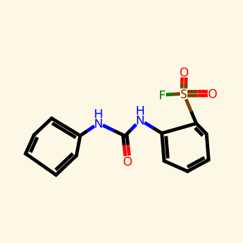 O=C(Nc1ccccc1)Nc1ccccc1S(=O)(=O)F